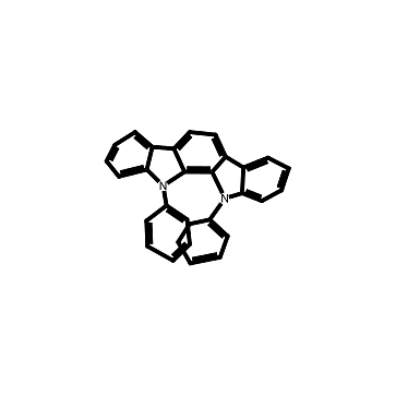 C1=CCCC(n2c3ccccc3c3ccc4c5ccccc5n(-c5ccccc5)c4c32)=C1